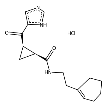 Cl.O=C(NCCC1=CCCCC1)[C@H]1C[C@H]1C(=O)c1cnc[nH]1